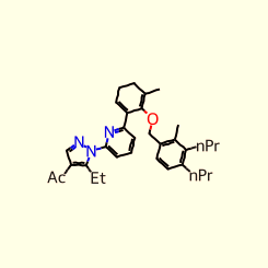 CCCc1ccc(COC2=C(C)CCC=C2c2cccc(-n3ncc(C(C)=O)c3CC)n2)c(C)c1CCC